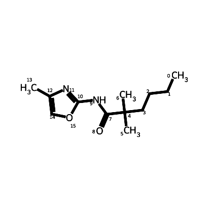 CCCCC(C)(C)C(=O)Nc1nc(C)co1